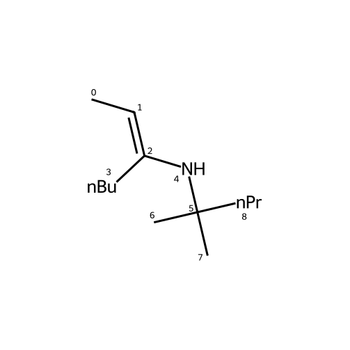 C/C=C(\CCCC)NC(C)(C)CCC